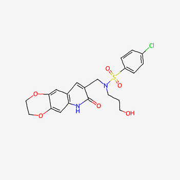 O=c1[nH]c2cc3c(cc2cc1CN(CCCO)S(=O)(=O)c1ccc(Cl)cc1)OCCO3